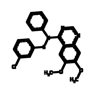 COc1cc2ncnc(N(Sc3cccc(Cl)c3)c3ccccc3)c2cc1OC